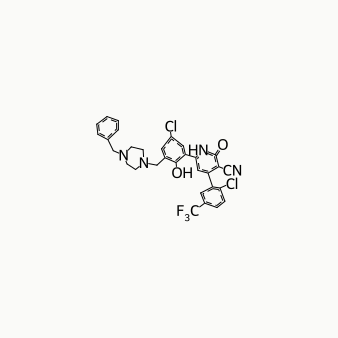 N#Cc1c(-c2cc(C(F)(F)F)ccc2Cl)cc(-c2cc(Cl)cc(CN3CCN(Cc4ccccc4)CC3)c2O)[nH]c1=O